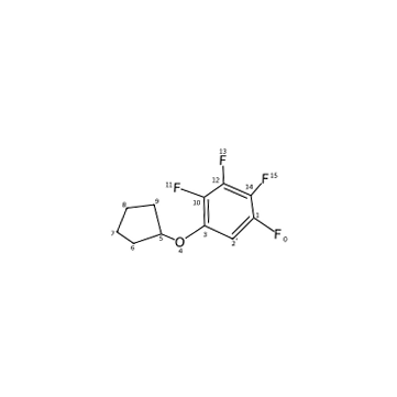 Fc1[c]c(OC2CCCC2)c(F)c(F)c1F